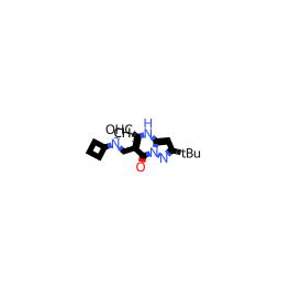 CN(Cc1c(C=O)[nH]c2cc(C(C)(C)C)nn2c1=O)C1CCC1